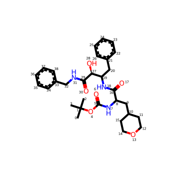 CC(C)(C)OC(=O)NC(CC1CCOCC1)C(=O)NC(Cc1ccccc1)[C@H](O)C(=O)NCc1ccccc1